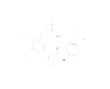 COc1ccc(C[C@H]2CO[C@H](c3cc(OC)c(OC)c(OC)c3)[C@H]2COC(=O)C2CC2)cc1OC